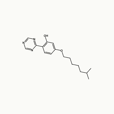 CC(C)CCCCCOc1ccc(-c2ncncn2)c(O)c1